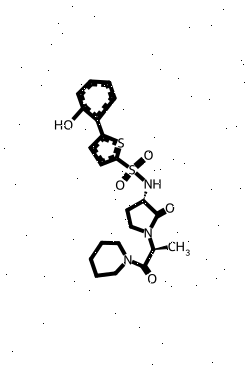 C[C@@H](C(=O)N1CCCCC1)N1CC[C@H](NS(=O)(=O)c2ccc(-c3ccccc3O)s2)C1=O